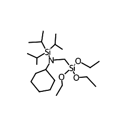 CCO[Si](CN(C1CCCCC1)[Si](C(C)C)(C(C)C)C(C)C)(OCC)OCC